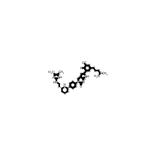 Cc1nc(NCC[C@H]2CCC[C@H](c3ccc(-n4cc5cc(-c6cc(CCC[C@H](C)N)cc(Cl)c6F)[nH]c5nc4=O)cc3)N2)[nH]c1C